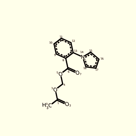 CC(=O)OCOC(=O)c1ccccc1-n1cccc1